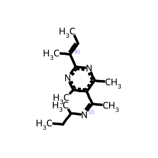 C/C=C(\C)c1nc(C)c(/C(C)=N\C(C)CC)c(C)n1